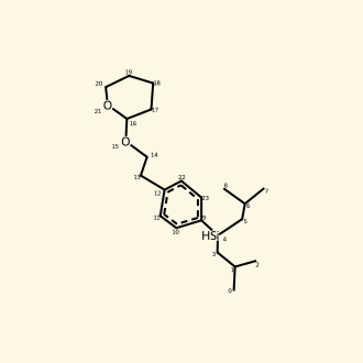 CC(C)C[SiH](CC(C)C)c1ccc(CCOC2CCCCO2)cc1